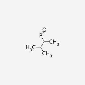 CC(C)C(C)P=O